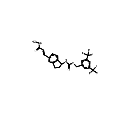 O=C(/C=C/c1ccc2c(c1)CCC2NC(=O)OCc1cc(C(F)(F)F)cc(C(F)(F)F)c1)NO